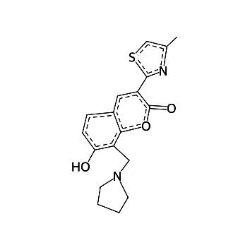 Cc1csc(-c2cc3ccc(O)c(CN4CCCC4)c3oc2=O)n1